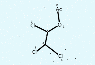 CC(=O)OC(Cl)C(Cl)Cl